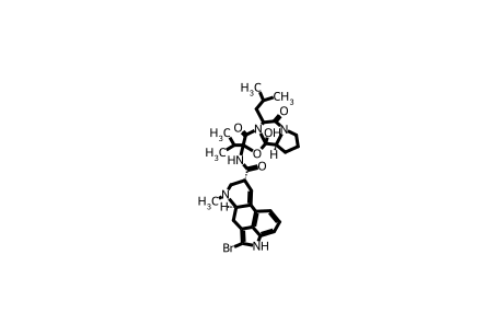 CC(C)CC1C(=O)N2CCC[C@H]2C2(O)OC(NC(=O)[C@@H]3C=C4c5cccc6[nH]c(Br)c(c56)C[C@H]4N(C)C3)(C(C)C)C(=O)N12